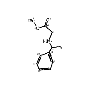 CC(NCC(=O)OC(C)(C)C)c1ccccc1